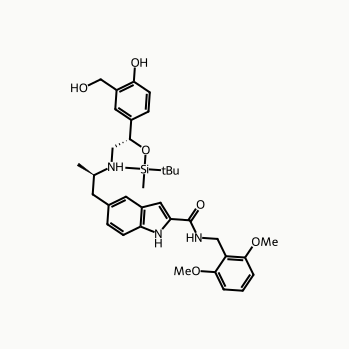 COc1cccc(OC)c1CNC(=O)c1cc2cc(C[C@@H](C)NC[C@@H](O[Si](C)(C)C(C)(C)C)c3ccc(O)c(CO)c3)ccc2[nH]1